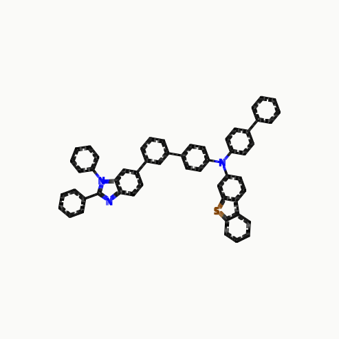 c1ccc(-c2ccc(N(c3ccc(-c4cccc(-c5ccc6nc(-c7ccccc7)n(-c7ccccc7)c6c5)c4)cc3)c3ccc4c(c3)sc3ccccc34)cc2)cc1